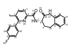 Cc1cnc(C(=O)N[C@H]2CCc3ccccc3NC2=O)nc1-c1ccc(F)cc1